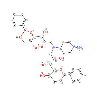 N[C@H]1CC[C@@H](N(C[C@H](O)[C@@H](O)[C@@H]2OC(c3ccccc3)OC[C@H]2O)C[C@H](O)[C@@H](O)[C@@H]2OC(c3ccccc3)OC[C@H]2O)CC1